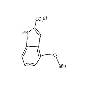 CCCCOc1cccc2[nH]c(C(=O)OCC)cc12